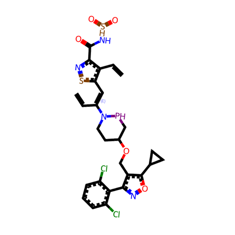 C=C/C(=C\c1snc(C(=O)N[SH](=O)=O)c1C=C)N1CCC(OCc2c(-c3c(Cl)cccc3Cl)noc2C2CC2)CP1